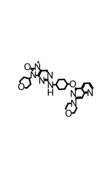 Cn1c(=O)n(C2CCOCC2)c2nc(NC3CCC(Oc4nc(N5CCOCC5)cc5ncccc45)CC3)ncc21